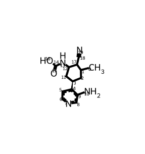 CC1C[C@@H](c2ccncc2N)CC(NC(=O)O)C1C#N